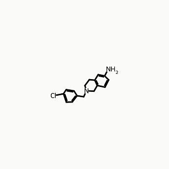 Nc1ccc2c(c1)CCN(Cc1ccc(Cl)cc1)C2